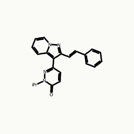 CC(C)n1nc(-c2c(C=Cc3ccccc3)nn3ccccc23)ccc1=O